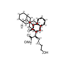 COC(=O)C(=NOCCO)c1nc2ccccc2n([C@@H]2CC3CCC[C@H](C2)N3C2CC3CCCC(C3)C2)c1=O